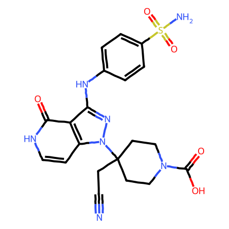 N#CCC1(n2nc(Nc3ccc(S(N)(=O)=O)cc3)c3c(=O)[nH]ccc32)CCN(C(=O)O)CC1